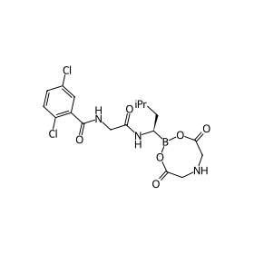 CC(C)C[C@H](NC(=O)CNC(=O)c1cc(Cl)ccc1Cl)B1OC(=O)CNCC(=O)O1